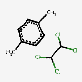 Cc1ccc(C)cc1.ClC(Cl)C(Cl)Cl